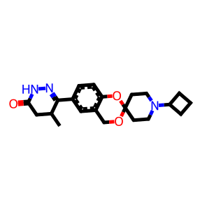 CC1CC(=O)NN=C1c1ccc2c(c1)COC1(CCN(C3CCC3)CC1)O2